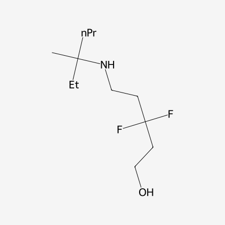 CCCC(C)(CC)NCCC(F)(F)CCO